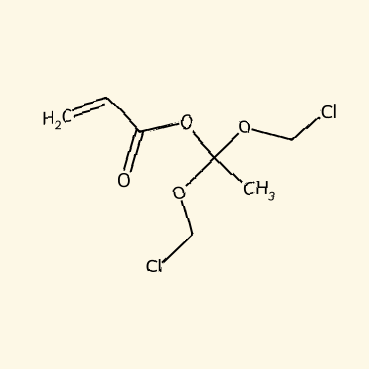 C=CC(=O)OC(C)(OCCl)OCCl